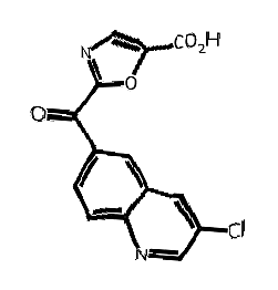 O=C(O)c1cnc(C(=O)c2ccc3ncc(Cl)cc3c2)o1